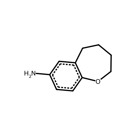 Nc1ccc2c(c1)CCCCO2